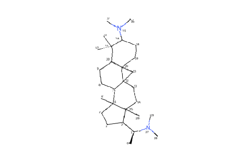 C[C@@H](C1CCC2(C)C3CCC4C(C)(C)C(N(C)C)CCC45CC35CCC12C)N(C)C